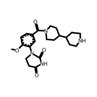 COc1ccc(C(=O)N2CCC(C3CCNCC3)CC2)cc1N1CCC(=O)NC1=O